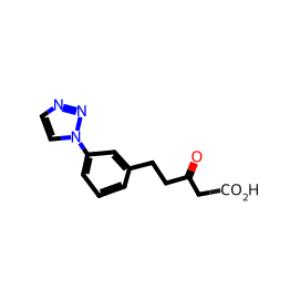 O=C(O)CC(=O)CCc1cccc(-n2ccnn2)c1